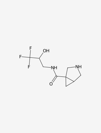 O=C(NCC(O)C(F)(F)F)C12CNCC1C2